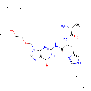 CC(N)C(=O)NC(Cc1c[nH]cn1)C(=O)Nc1nc2c(ncn2COCCO)c(=O)[nH]1